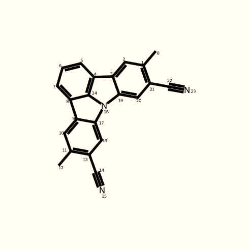 Cc1cc2c3cccc4c5cc(C)c(C#N)cc5n(c2cc1C#N)c34